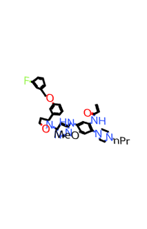 C=CC(=O)Nc1cc(Nc2cc(N3OCCC3c3cccc(OCc4cccc(F)c4)c3)ncn2)c(OC)cc1N1CCN(CCC)CC1